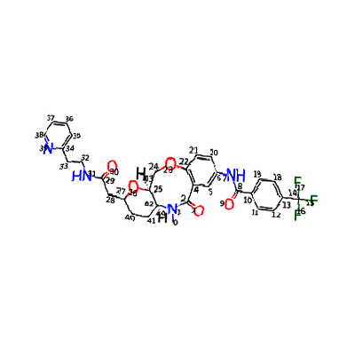 CN1C(=O)c2cc(NC(=O)c3ccc(C(F)(F)F)cc3)ccc2OC[C@@H]2O[C@H](CC(=O)NCCc3ccccn3)CC[C@@H]21